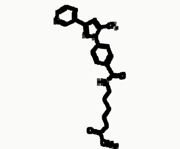 COC(=O)CCCCCNC(=O)c1ccc(-n2nc(-c3cccnc3)cc2C(F)(F)F)cc1